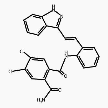 NC(=O)c1cc(Cl)c(Cl)cc1C(=O)Nc1ccccc1C=Cc1n[nH]c2ccccc12